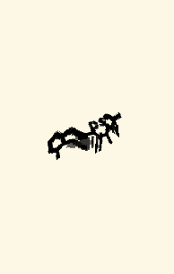 Cc1csc(C(C)NC(=O)c2cc3cccc(C)c3[nH]2)n1